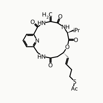 C=C1NC(=O)c2cccc(n2)CNC(=O)C[C@@H](/C=C/CCSC(C)=O)OC(=O)[C@H](C(C)C)NC1=O